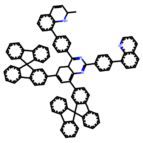 CC1C=Cc2cccc(-c3ccc(C4=NC(c5ccc(-c6cccc7cccnc67)cc5)=NC5=C(c6ccc7c(c6)C6(c8ccccc8-c8ccccc86)c6ccccc6-7)C=C(c6ccc7c(c6)C6(c8ccccc8-c8ccccc86)c6ccccc6-7)CC45)cc3)c2N1